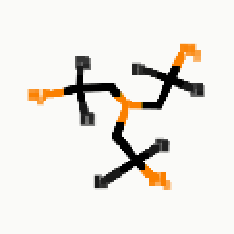 CCC(P)(CC)CP(CC(P)(CC)CC)CC(P)(CC)CC